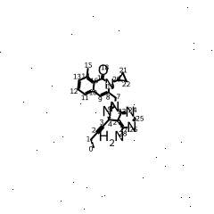 CCC#Cc1nn(Cc2cc3cccc(C)c3c(=O)n2C2CC2)c2ncnc(N)c12